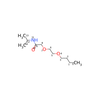 CCCCOCCOCC(=O)NC(C)C